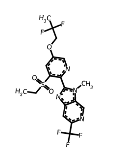 CCS(=O)(=O)c1cc(OCC(C)(F)F)cnc1-c1nc2cc(C(F)(F)F)ncc2n1C